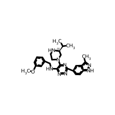 COc1cccc(CNc2nnc(-c3ccc4[nH]nc(C)c4c3)nc2N2CCN[C@@H](C(C)C)C2)c1